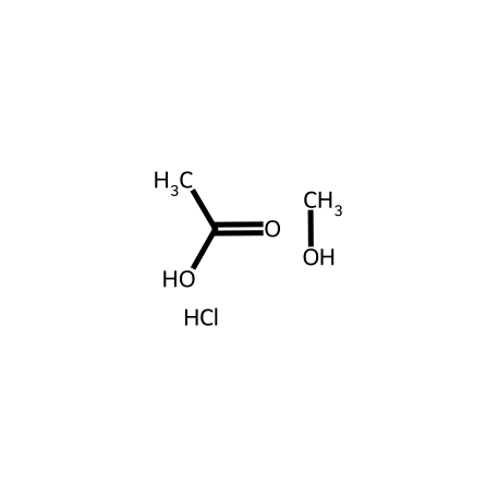 CC(=O)O.CO.Cl